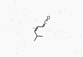 CC(C)/C=C\C=C=O